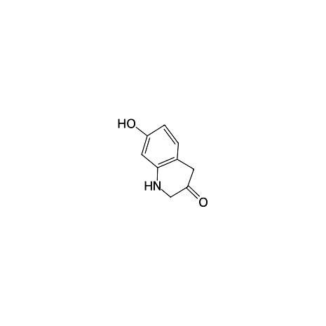 O=C1CNc2cc(O)ccc2C1